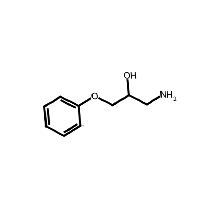 NCC(O)COc1[c]cccc1